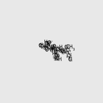 CC1(C)CCC(c2ccc(Cl)cc2)=C(CN2CCN(c3ccc(C(=O)NS(=O)(=O)c4cc5c(c([N+](=O)[O-])c4)N[C@H](C4CCOCC4)CO5)c(Oc4cnc5[nH]ccc5c4)c3)CC2)C1